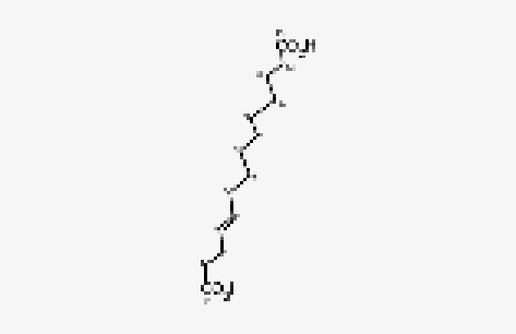 O=C(O)CC/C=C/CCCCCCCCC(=O)O